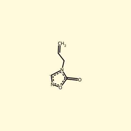 C=CCn1[c]noc1=O